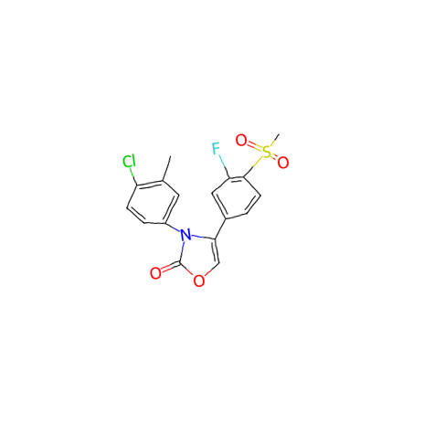 Cc1cc(-n2c(-c3ccc(S(C)(=O)=O)c(F)c3)coc2=O)ccc1Cl